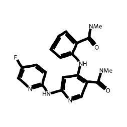 CNC(=O)c1ccccc1Nc1cc(Nc2ccc(F)cn2)ncc1C(=O)NC